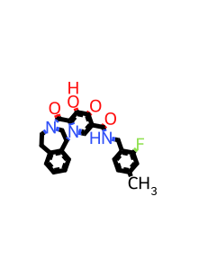 Cc1ccc(CNC(=O)c2cn3c(c(O)c2=O)C(=O)N2CCc4ccccc4C3C2)c(F)c1